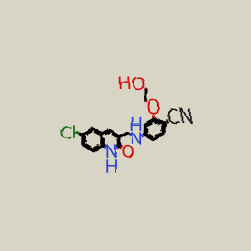 N#Cc1ccc(NCc2cc3cc(Cl)ccc3[nH]c2=O)cc1OCCO